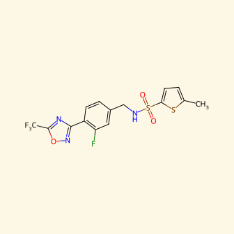 Cc1ccc(S(=O)(=O)NCc2ccc(-c3noc(C(F)(F)F)n3)c(F)c2)s1